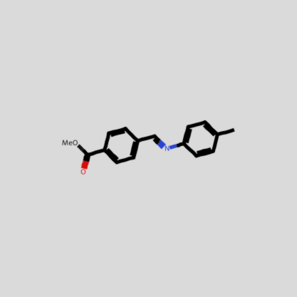 COC(=O)c1ccc(/C=N/c2ccc(C)cc2)cc1